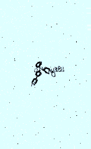 CC(C)(C)OC(=O)N1CCC(N2c3ccccc3Oc3cc(-c4ccncc4)ccc32)CC1